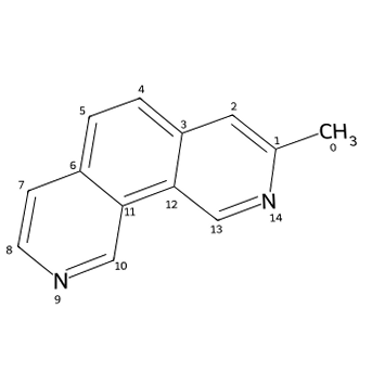 Cc1cc2ccc3ccncc3c2cn1